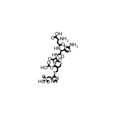 Nc1nc([C@H](NC(=O)C[C@@H](N)C(=O)O)C(=O)N[C@@H]2C(=O)N3C(OC(=O)O)=C(CSc4nnnn4CS(=O)(=O)O)CS[C@@H]23)cs1